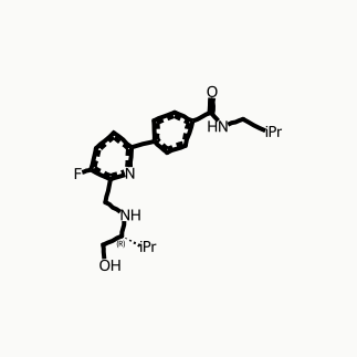 CC(C)CNC(=O)c1ccc(-c2ccc(F)c(CN[C@@H](CO)C(C)C)n2)cc1